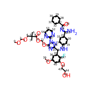 COCOCC(C)(C)C(=O)OCOc1nc([C@H](Nc2ccc(C(N)=NC(=O)c3ccccc3)cc2)c2cc(OC)cc(OCCO)c2F)nn1-c1ncccn1